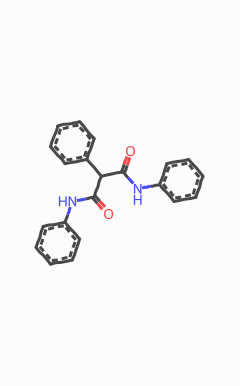 O=C(Nc1ccccc1)C(C(=O)Nc1ccccc1)c1ccccc1